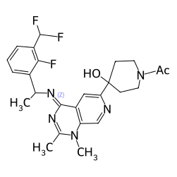 CC(=O)N1CCC(O)(c2cc3/c(=N/C(C)c4cccc(C(F)F)c4F)nc(C)n(C)c3cn2)CC1